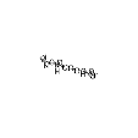 CN1CCC[C@H]1c1cncc(OCCNC(=O)CCOCCOCCOCCOCCNC(=O)OC(C)(C)C)c1